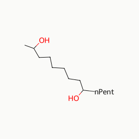 CCCCCC(O)CCCCCCC(C)O